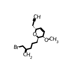 C#CC[C@@H]1C=C[C@H](OC)[C@@H](CCCC(=C)CBr)O1